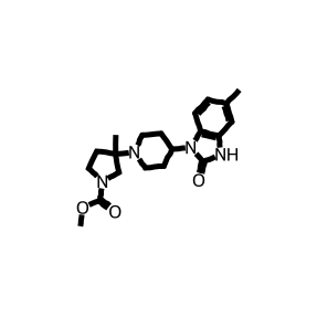 COC(=O)N1CCC(C)(N2CCC(n3c(=O)[nH]c4cc(C)ccc43)CC2)C1